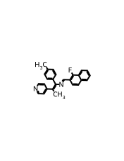 C/C(=C(\N=C\c1ccc2ccccc2c1F)c1ccc(C)cc1)c1ccncc1